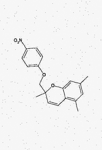 Cc1cc(C)c2c(c1)OC(C)(COc1ccc([N+](=O)[O-])cc1)C=C2